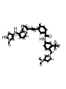 Cc1ccc(C(=O)Nc2ccc(CN3CCC(N(C)C)C3)c(C(F)(F)F)c2)cc1C#Cc1cnc2c(NC3=CN(C)NC3)cccn12